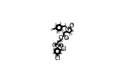 Cc1ccc(CN2C(=O)CCC2CC(=O)OCCS(=O)(=O)c2ccc(Cl)cc2Cl)cc1